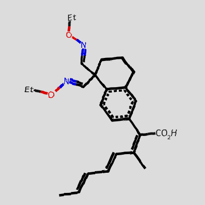 C/C=C/C=C/C(C)=C(/C(=O)O)c1ccc2c(c1)CCCC2(C=NOCC)C=NOCC